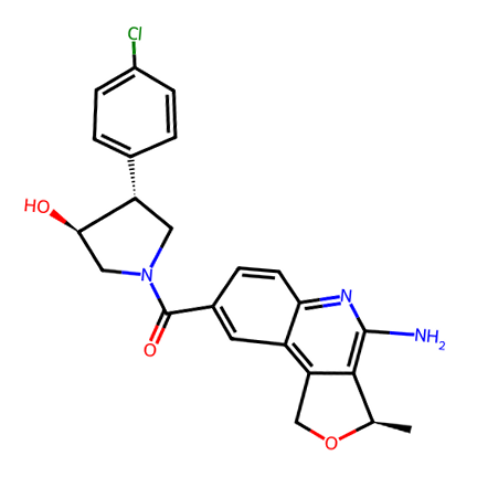 C[C@H]1OCc2c1c(N)nc1ccc(C(=O)N3C[C@@H](O)[C@H](c4ccc(Cl)cc4)C3)cc21